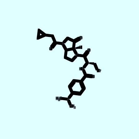 CC(C)C[C@H](NC(=O)c1ccc(N(C)C)cc1)C(=O)N1CCC2[C@H]1C(=O)CN2C(=O)CC1CC1